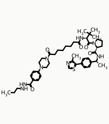 CCCNNC(=O)c1ccc(N2CCN(C(=O)CCCCCCC(=O)N[C@H](C(=O)N3CCC[C@H]3C(=O)N[C@@H](C)c3ccc(-c4scnc4C)cc3)C(C)(C)C)CC2)cc1